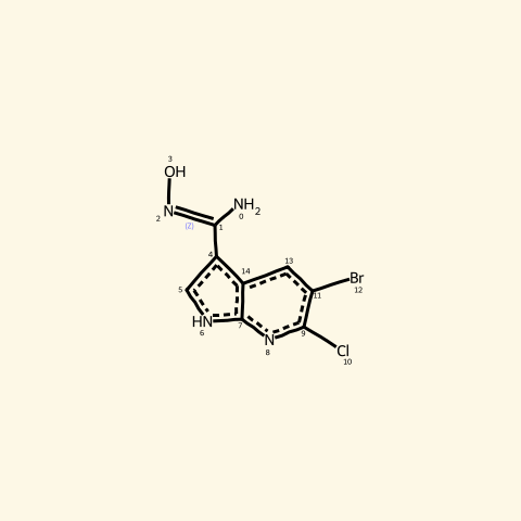 N/C(=N\O)c1c[nH]c2nc(Cl)c(Br)cc12